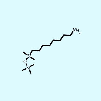 C[Si](C)(C)O[Si](C)(C)CCCCCCCCN